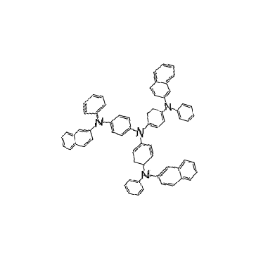 C1=CC(N(c2ccccc2)c2ccc3ccccc3c2)CC=C1N(C1=CC=C(N(c2ccccc2)c2ccc3ccccc3c2)CC1)c1ccc(N(c2ccccc2)c2ccc3ccccc3c2)cc1